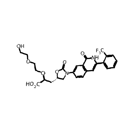 O=C(O)C(C[C@H]1CN(c2ccc3cc(-c4ccccc4C(F)(F)F)[nH]c(=O)c3c2)C(=O)O1)OCCOCCO